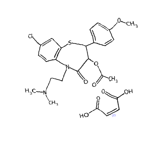 COc1ccc(C2Sc3cc(Cl)ccc3N(CCN(C)C)C(=O)C2OC(C)=O)cc1.O=C(O)/C=C\C(=O)O